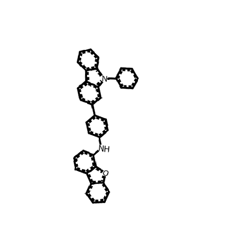 c1ccc(-n2c3ccccc3c3ccc(-c4ccc(Nc5cccc6c5oc5ccccc56)cc4)cc32)cc1